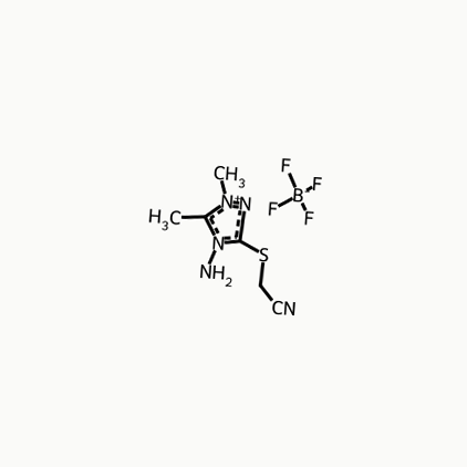 Cc1n(N)c(SCC#N)n[n+]1C.F[B-](F)(F)F